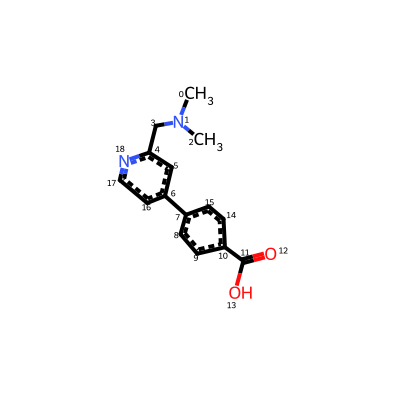 CN(C)Cc1cc(-c2ccc(C(=O)O)cc2)ccn1